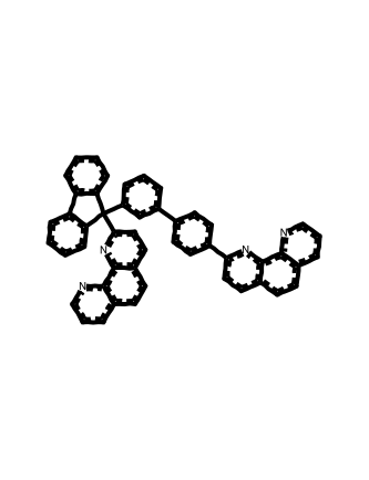 c1cc(-c2ccc(-c3ccc4ccc5cccnc5c4n3)cc2)cc(C2(c3ccc4ccc5cccnc5c4n3)c3ccccc3-c3ccccc32)c1